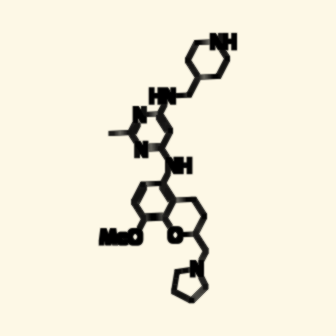 COc1ccc(Nc2cc(NCC3CCNCC3)nc(C)n2)c2c1OC(CN1CCCC1)CC2